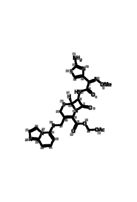 CO/N=C(\C(=O)NC1C(=O)N2C(C(=O)OCOC(C)=O)=C(CSc3cccc4nccn34)CS[C@H]12)c1csc(N)n1